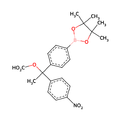 CC(OC(=O)O)(c1ccc(B2OC(C)(C)C(C)(C)O2)cc1)c1ccc([N+](=O)[O-])cc1